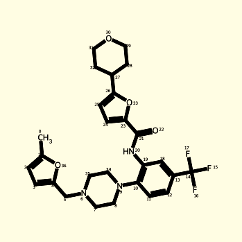 Cc1ccc(CN2CCN(c3ccc(C(F)(F)F)cc3NC(=O)c3ccc(C4CCOCC4)o3)CC2)o1